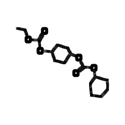 CCOC(=O)OC1CCC(OC(=O)OC2CCCCC2)CC1